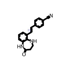 N#Cc1ccc(/C=C/c2cccc3c2NCCC(=O)N3)cc1